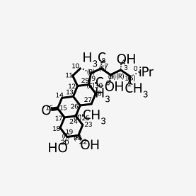 CC(C)[C@H](C)[C@@H](O)[C@H](O)[C@@H](C)[C@H]1CCC2C3CC(=O)C4C[C@@H](O)[C@H](O)C[C@]4(C)C3CC[C@@]21C